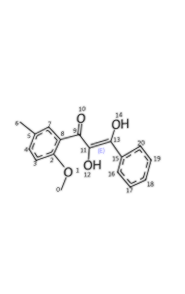 COc1ccc(C)cc1C(=O)/C(O)=C(\O)c1ccccc1